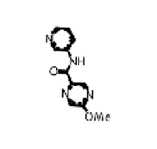 COc1cnc(C(=O)Nc2cccnc2)cn1